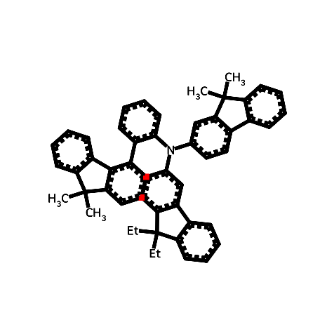 CCC1(CC)c2ccccc2-c2cc(N(c3ccc4c(c3)C(C)(C)c3ccccc3-4)c3ccccc3-c3cccc4c3-c3ccccc3C4(C)C)ccc21